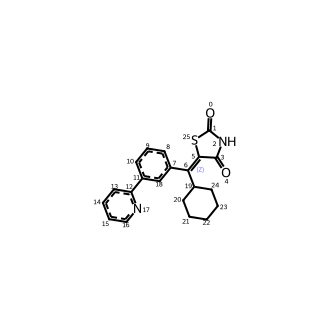 O=C1NC(=O)/C(=C(/c2cccc(-c3ccccn3)c2)C2CCCCC2)S1